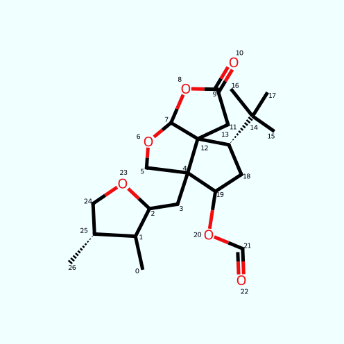 CC1C(CC23COC4OC(=O)CC42[C@H](C(C)(C)C)CC3OC=O)OC[C@H]1C